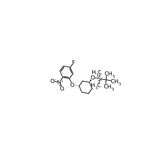 CC(C)(C)[Si](C)(C)O[C@H]1CCC[C@H](Oc2cc(F)ccc2[N+](=O)[O-])C1